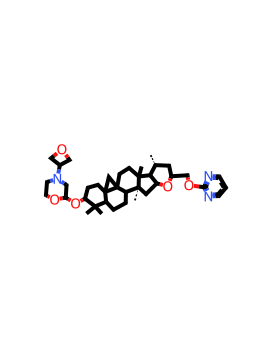 C[C@@H]1CC(COc2ncccn2)OC2C[C@@]3(C)C4CCC5C(C)(C)C(OC6CN(C7COC7)CCO6)CCC56CC46CCC3(C)C21